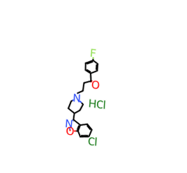 Cl.O=C(CCCN1CCC(c2noc3cc(Cl)ccc23)CC1)c1ccc(F)cc1